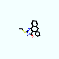 CCSc1nc2c(c(=O)n1C)C1(CCCC1)CC1C=CC=CC21